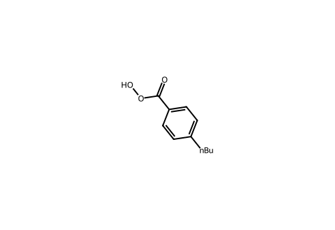 CCCCc1ccc(C(=O)OO)cc1